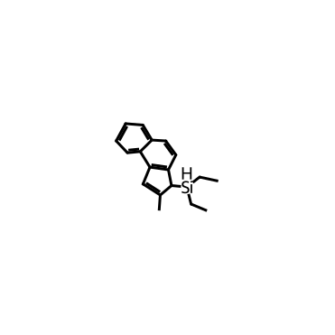 CC[SiH](CC)C1C(C)=Cc2c1ccc1ccccc21